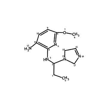 CCC(Nc1nc(OC)ccc1N)N1CC=NC1